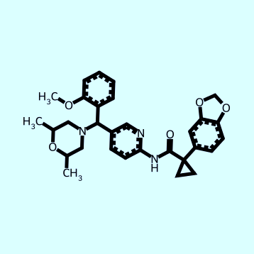 COc1ccccc1C(c1ccc(NC(=O)C2(c3ccc4c(c3)OCO4)CC2)nc1)N1CC(C)OC(C)C1